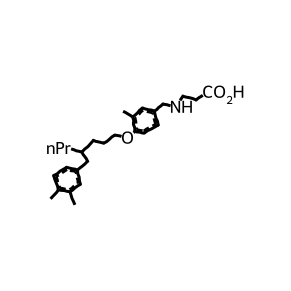 CCCC(CCCOc1ccc(CNCCC(=O)O)cc1C)Cc1ccc(C)c(C)c1